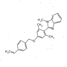 C=Cc1ccc(COc2cc(C)c(-c3nc4ccccc4n3C)c(C)c2)cc1